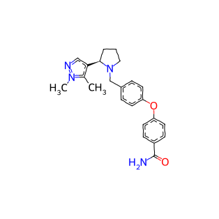 Cc1c([C@H]2CCCN2Cc2ccc(Oc3ccc(C(N)=O)cc3)cc2)cnn1C